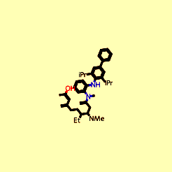 C=C(/C=C(\C)O)CCC(CC)C(CC(=C)N(C)c1ccccc1Nc1c(C(C)C)cc(-c2ccccc2)cc1C(C)C)NC